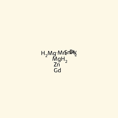 [Dy].[Gd].[MgH2].[MgH2].[Mn].[SnH2].[Zn]